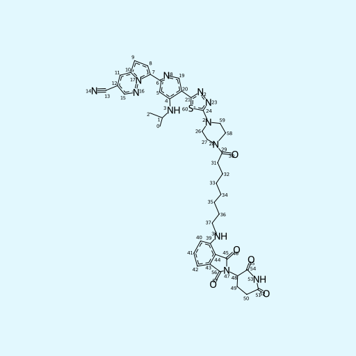 CC(C)Nc1cc(-c2ccc3cc(C#N)cnn23)ncc1-c1nnc(N2CCN(C(=O)CCCCCCCNc3cccc4c3C(=O)N(C3CCC(=O)NC3=O)C4=O)CC2)s1